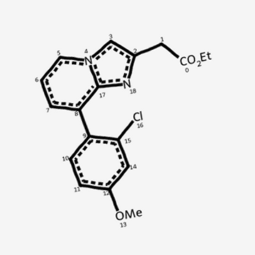 CCOC(=O)Cc1cn2cccc(-c3ccc(OC)cc3Cl)c2n1